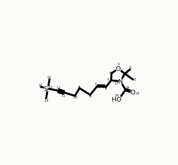 CC1(C)OCC(C=CCCCC#C[Si](C)(C)C)N1C(=O)O